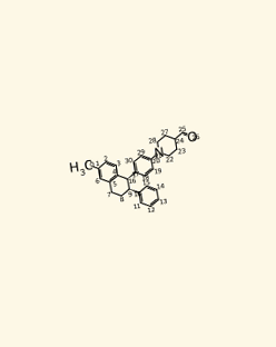 Cc1ccc2c(c1)CC[C@H](c1ccccc1)[C@@H]2c1ccc(N2CCC(C=O)CC2)cc1